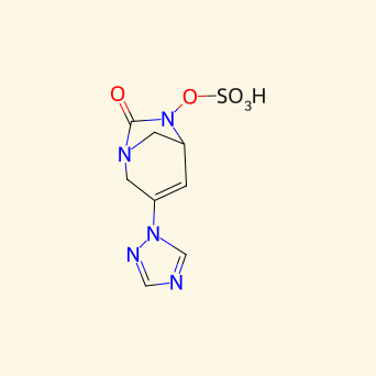 O=C1N2CC(n3cncn3)=CC(C2)N1OS(=O)(=O)O